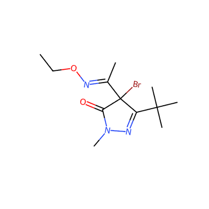 CCON=C(C)C1(Br)C(=O)N(C)N=C1C(C)(C)C